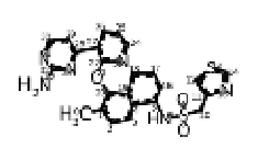 Cc1ccc2c(NS(=O)(=O)Cc3cscn3)cccc2c1Oc1ncccc1-c1ccnc(N)n1